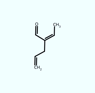 C=CCC(C=O)=CC